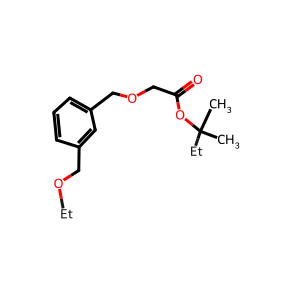 CCOCc1cccc(COCC(=O)OC(C)(C)CC)c1